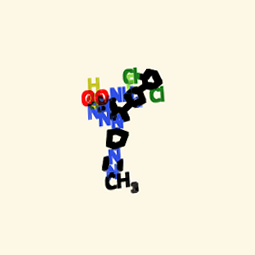 CN1CCN(C2CCC(n3cc(-c4ccc(-c5c(Cl)cccc5Cl)c(F)c4)c4c(N)ncnc43)CC2)CC1.N[SH](=O)=O